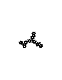 c1ccc(-n2c3ccccc3c3cc(-c4ccc(N(c5ccc(-c6ccc7c(c6)sc6ccccc67)cc5)c5ccc6c(c5)Cc5ccccc5-6)cc4)ccc32)cc1